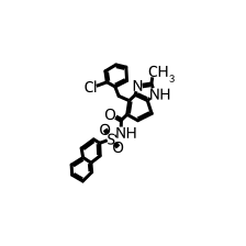 Cc1nc2c(Cc3ccccc3Cl)c(C(=O)NS(=O)(=O)c3ccc4ccccc4c3)ccc2[nH]1